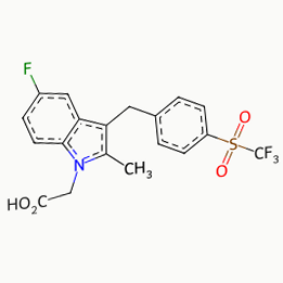 Cc1c(Cc2ccc(S(=O)(=O)C(F)(F)F)cc2)c2cc(F)ccc2n1CC(=O)O